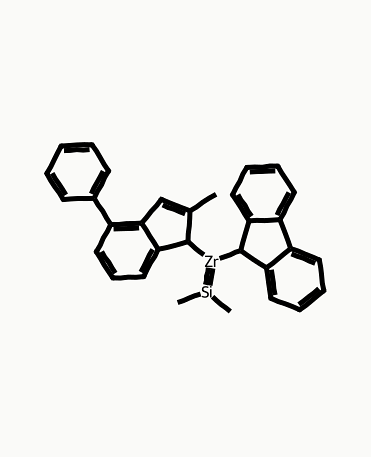 CC1=Cc2c(-c3ccccc3)cccc2[CH]1[Zr]([CH]1c2ccccc2-c2ccccc21)=[Si](C)C